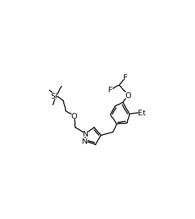 CCc1cc(Cc2cnn(COCC[Si](C)(C)C)c2)ccc1OC(F)F